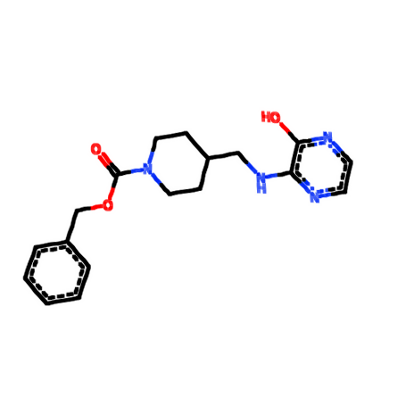 O=C(OCc1ccccc1)N1CCC(CNc2nccnc2O)CC1